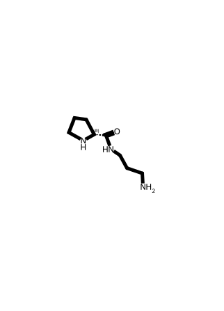 NCCCNC(=O)[C@H]1CCCN1